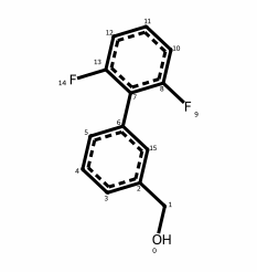 OCc1cccc(-c2c(F)cccc2F)c1